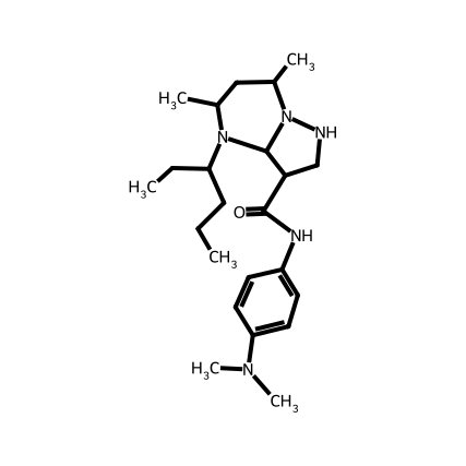 CCCC(CC)N1C(C)CC(C)N2NCC(C(=O)Nc3ccc(N(C)C)cc3)C21